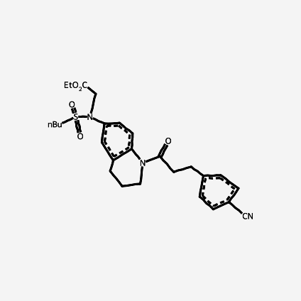 CCCCS(=O)(=O)N(CC(=O)OCC)c1ccc2c(c1)CCCN2C(=O)CCc1ccc(C#N)cc1